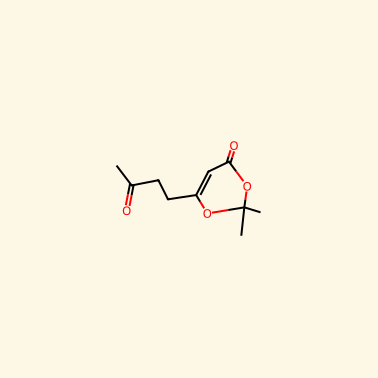 CC(=O)CCC1=CC(=O)OC(C)(C)O1